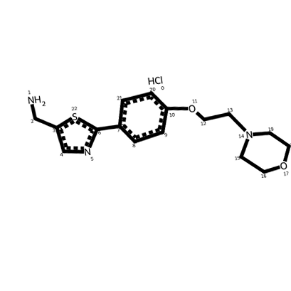 Cl.NCc1cnc(-c2ccc(OCCN3CCOCC3)cc2)s1